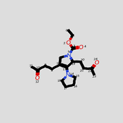 CCOC(=O)N1CC(CCC(C)=O)=C(N2CCCC2)C1CCC(C)=O